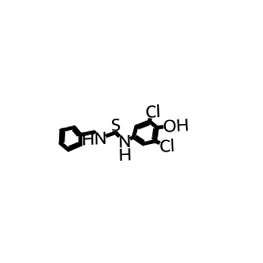 Oc1c(Cl)cc(NC(=S)NCc2ccccc2)cc1Cl